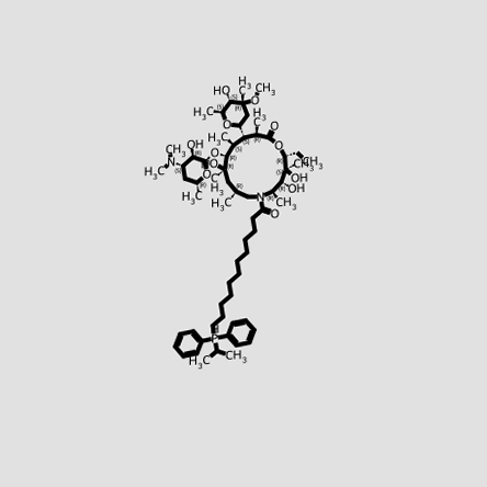 CC[C@H]1OC(=O)[C@H](C)[C@@H](C2C[C@@](C)(OC)[C@@H](O)[C@H](C)O2)[C@H](C)[C@@H](O[C@@H]2O[C@H](C)C[C@H](N(C)C)[C@H]2O)[C@](C)(O)C[C@@H](C)CN(C(=O)CCCCCCCCCCC[PH](c2ccccc2)(c2ccccc2)C(C)C)[C@H](C)[C@@H](O)[C@]1(C)O